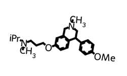 COc1ccc(C2CN(C)Cc3cc(OCCCN(C)C(C)C)ccc32)cc1